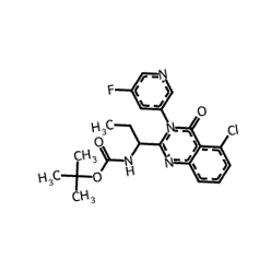 CCC(NC(=O)OC(C)(C)C)c1nc2cccc(Cl)c2c(=O)n1-c1cncc(F)c1